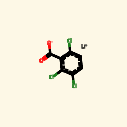 O=C([O-])c1c(Cl)ccc(Cl)c1Cl.[Li+]